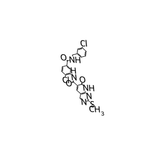 CSc1ncc2cc(C(=O)Nc3cc(C(=O)NCc4cccc(Cl)c4)ccc3Cl)c(=O)[nH]c2n1